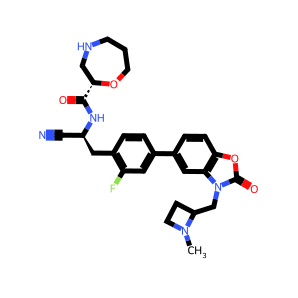 CN1CCC1Cn1c(=O)oc2ccc(-c3ccc(C[C@@H](C#N)NC(=O)[C@@H]4CNCCCO4)c(F)c3)cc21